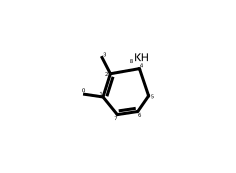 CC1=C(C)CCC=C1.[KH]